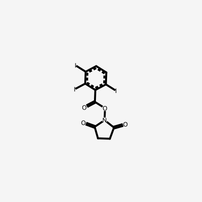 O=C(ON1C(=O)CCC1=O)c1c(I)ccc(I)c1I